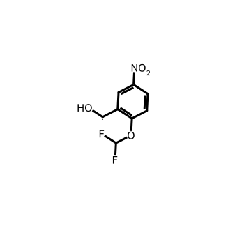 O=[N+]([O-])c1ccc(OC(F)F)c([CH]O)c1